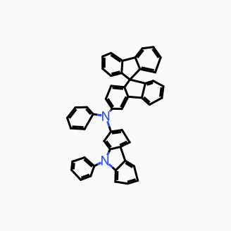 c1ccc(N(c2ccc3c(c2)-c2ccccc2C32c3ccccc3-c3ccccc32)c2ccc3c4ccccc4n(-c4ccccc4)c3c2)cc1